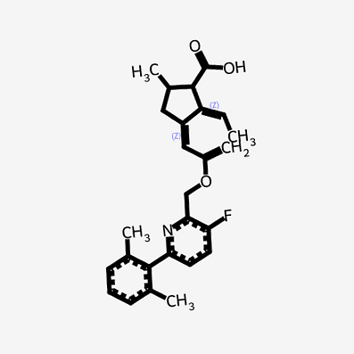 C=C(/C=C1/CC(C)C(C(=O)O)/C1=C/C)OCc1nc(-c2c(C)cccc2C)ccc1F